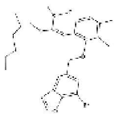 CCCCCC.CSC(=Cc1ccc(C)c(C)c1OCc1cc(Br)c2occc2c1)[S+](C)[O-]